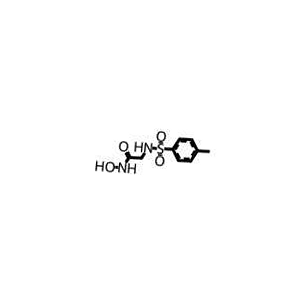 Cc1ccc(S(=O)(=O)NCC(=O)NO)cc1